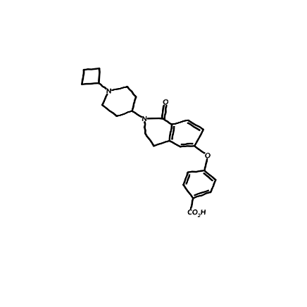 O=C(O)c1ccc(Oc2ccc3c(c2)CCN(C2CCN(C4CCC4)CC2)C3=O)cc1